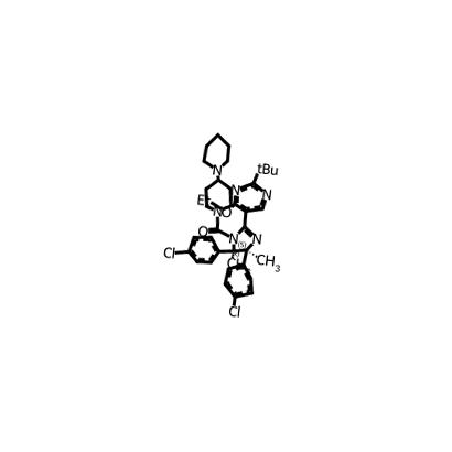 CCOc1nc(C(C)(C)C)ncc1C1=N[C@@](C)(c2ccc(Cl)cc2)[C@@](C)(c2ccc(Cl)cc2)N1C(=O)N1CCC(N2CCCCC2)CC1